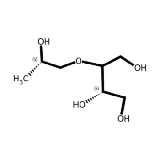 C[C@H](O)COC(CO)[C@@H](O)CO